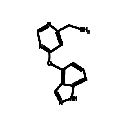 NCc1cc(Oc2cccc3[nH]ncc23)ncn1